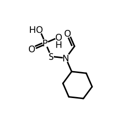 O=CN(SP(=O)(O)O)C1CCCCC1